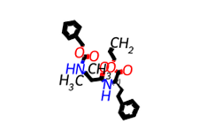 C=CCOC(=O)[C@@H](CCc1ccccc1)NC(=O)CC(C)(C)NC(=O)OCc1ccccc1